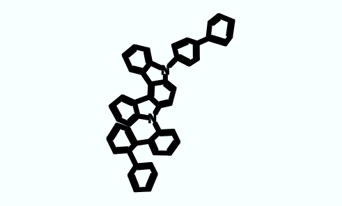 c1ccc(-c2ccc(-n3c4ccccc4c4c5c6ccccc6n(-c6ccccc6-c6ccccc6-c6ccccc6)c5ccc43)cc2)cc1